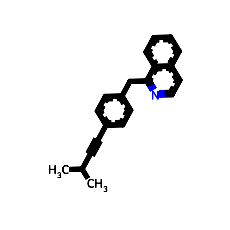 CC(C)C#Cc1ccc(Cc2nccc3ccccc23)cc1